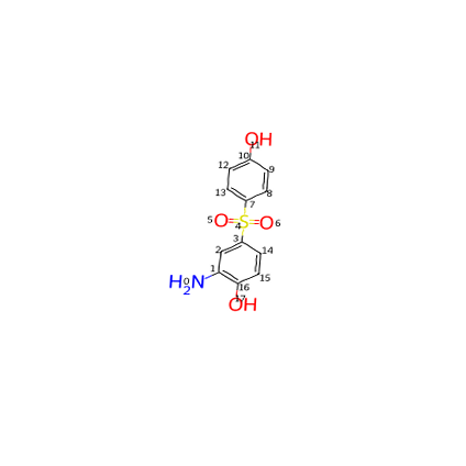 Nc1cc(S(=O)(=O)c2ccc(O)cc2)ccc1O